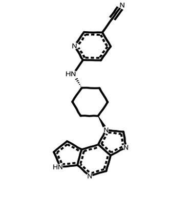 N#Cc1ccc(N[C@H]2CC[C@H](n3cnc4cnc5[nH]ccc5c43)CC2)nc1